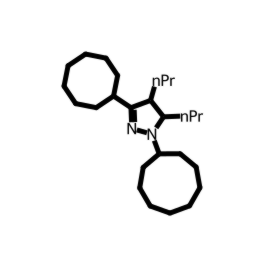 CCCC1C(C2CCCCCCC2)=NN(C2CCCCCCCC2)C1CCC